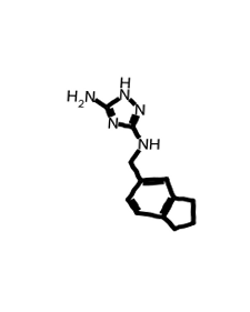 Nc1nc(NCc2ccc3c(c2)CCC3)n[nH]1